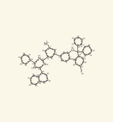 N#Cc1cc(-c2ccc3c(c2)OC(c2ccccc2)(c2ccccc2)c2ccc(F)cc2-3)cc(-c2nc(-c3ccccc3)nc(-c3cccc4ccccc34)n2)c1